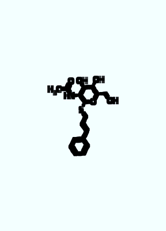 CC(=O)N[C@H]1[C@@H](O)[C@H](O)[C@@H](CO)O[C@@H]1SCC=Cc1ccccc1